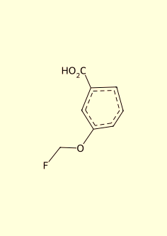 O=C(O)c1cccc(OCF)c1